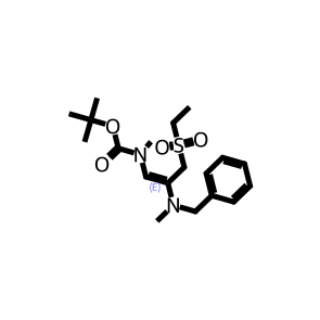 CCS(=O)(=O)C/C(=C\N(C)C(=O)OC(C)(C)C)N(C)Cc1ccccc1